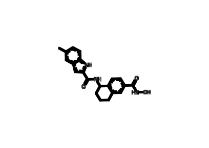 Cc1ccc2[nH]c(C(=O)NC3CCCc4cc(C(=O)NO)ccc43)cc2c1